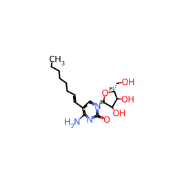 CCCCCCC=Cc1cn([C@@H]2O[C@H](CO)C(O)C2O)c(=O)nc1N